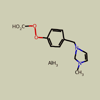 CN1C=CN(Cc2ccc(OOC(=O)O)cc2)C1.[AlH3]